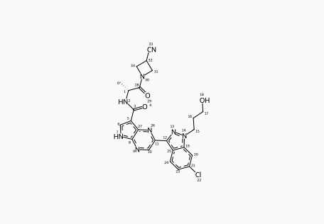 C[C@@H](NC(=O)c1c[nH]c2ncc(-c3nn(CCCO)c4cc(Cl)ccc34)nc12)C(=O)N1CC(C#N)C1